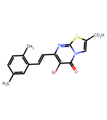 Cc1ccc(C)c(/C=C/c2nc3sc(C(=O)O)cn3c(=O)c2Br)c1